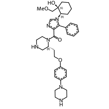 COC[C@]1(O)CCCC[C@H]1n1cnc(C(=O)N2CCNC[C@H]2CCOc2ccc(N3CCNCC3)cc2)c1-c1ccccc1